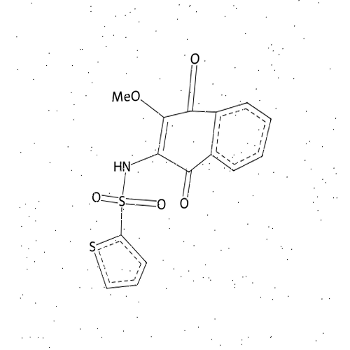 COC1=C(NS(=O)(=O)c2cccs2)C(=O)c2ccccc2C1=O